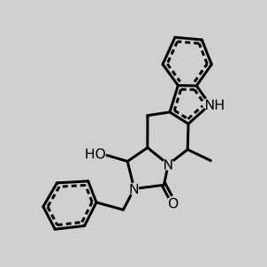 CC1c2[nH]c3ccccc3c2CC2C(O)N(Cc3ccccc3)C(=O)N12